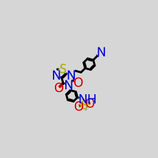 CS(=O)(=O)Nc1cccc(-n2c(=O)c3ncsc3n(CCc3ccc(C#N)cc3)c2=O)c1